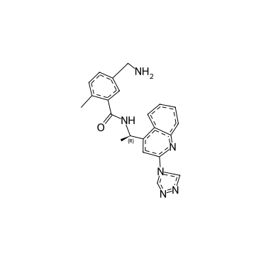 Cc1ccc(CN)cc1C(=O)N[C@H](C)c1cc(-n2cnnc2)nc2ccccc12